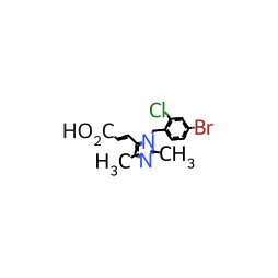 Cc1nc(C)n(Cc2ccc(Br)cc2Cl)c1/C=C/C(=O)O